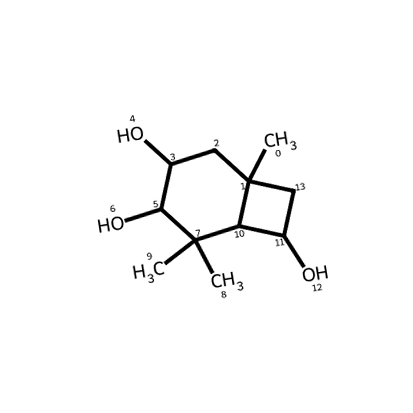 CC12CC(O)C(O)C(C)(C)C1C(O)C2